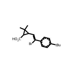 CC(C)(C)c1ccc(C(Br)=CC2C(C(=O)O)C2(C)C)cc1